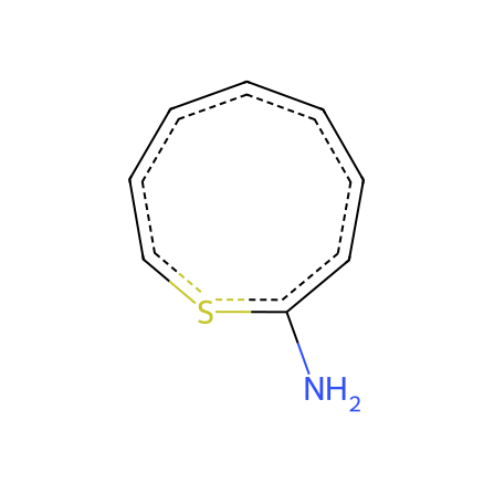 Nc1cccccccs1